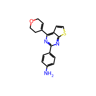 Nc1ccc(-c2nc(C3=CCOCC3)c3ccsc3n2)cc1